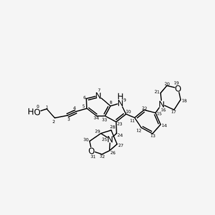 OCCC#Cc1cnc2[nH]c(-c3cccc(N4CCOCC4)c3)c(CN3C4CCC3COC4)c2c1